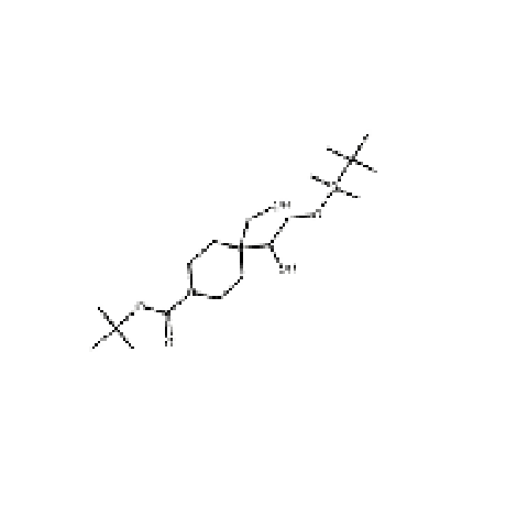 CC(C)(C)OC(=O)N1CCC(CO)(C(O)CO[Si](C)(C)C(C)(C)C)CC1